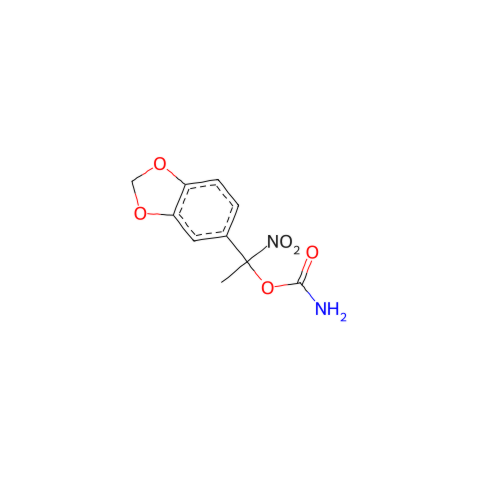 CC(OC(N)=O)(c1ccc2c(c1)OCO2)[N+](=O)[O-]